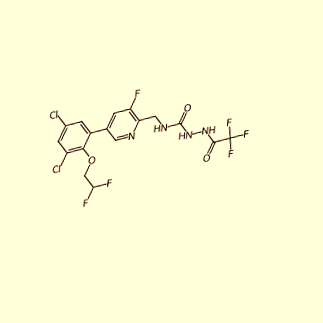 O=C(NCc1ncc(-c2cc(Cl)cc(Cl)c2OCC(F)F)cc1F)NNC(=O)C(F)(F)F